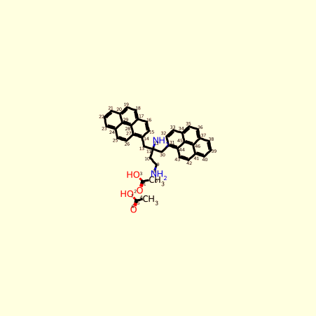 CC(=O)O.CC(=O)O.NCCC(N)(Cc1ccc2ccc3cccc4ccc1c2c34)Cc1ccc2ccc3cccc4ccc1c2c34